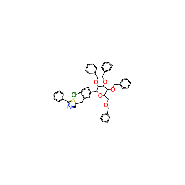 Clc1ccc(C2OC(COCc3ccccc3)C(OCc3ccccc3)C(OCc3ccccc3)C2OCc2ccccc2)cc1Cc1cnc(-c2ccccc2)s1